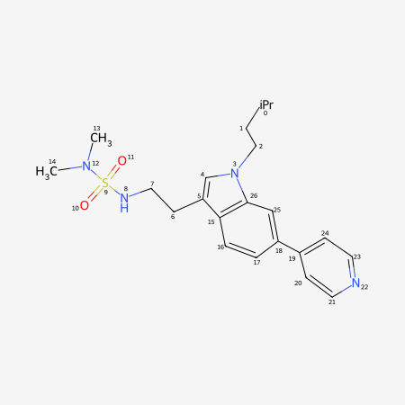 CC(C)CCn1cc(CCNS(=O)(=O)N(C)C)c2ccc(-c3ccncc3)cc21